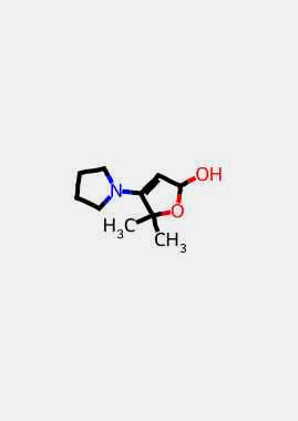 CC1(C)OC(O)C=C1N1CCCC1